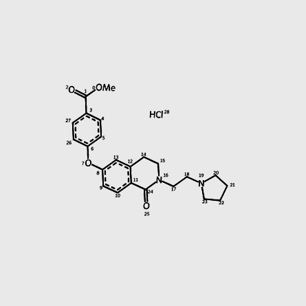 COC(=O)c1ccc(Oc2ccc3c(c2)CCN(CCN2CCCC2)C3=O)cc1.Cl